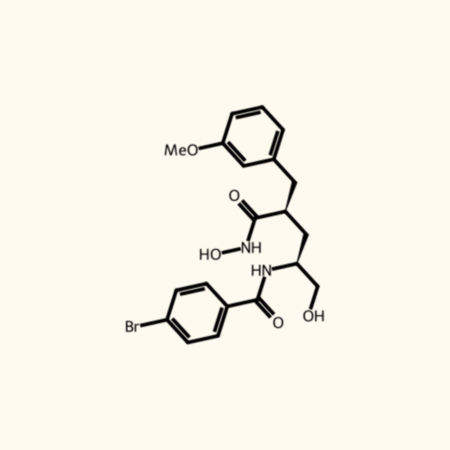 COc1cccc(C[C@@H](C[C@@H](CO)NC(=O)c2ccc(Br)cc2)C(=O)NO)c1